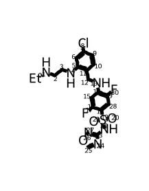 CCNCCNc1cc(Cl)ccc1CNc1cc(F)c(S(=O)(=O)Nc2ncon2)cc1F